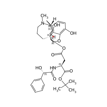 CN1CCC[C@]23c4c5ccc(O)c4O[C@H]2C(OC(=O)C[C@H](NC(=O)[C@@H](O)c2ccccc2)C(=O)OC(C)(C)C)=CC[C@@]3(O)[C@H]1C5